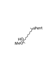 CCCCCC(C)CCCCCCCC(O)C(C)OC